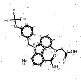 NC(=O)c1cccc2c1c1c(OCC(=O)O)cccc1n2Cc1cccc(OC(F)(F)F)c1.[Na]